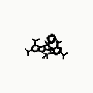 CC1=C2c3c(C(C)C)cc(C(C)C)cc3[CH]1[Zr]([CH3])([CH3])[CH]1C(C)=C(c3c(C(C)C)cc(C(C)C)cc31)[Si]2(C)c1ccccc1